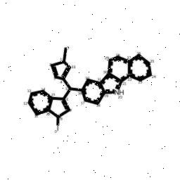 CC1C=CC(C(C2=CC(I)c3ccccc32)c2ccc3[nH]c4c5ccccc5ccc4c3c2)=C1